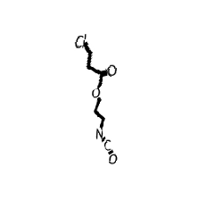 O=C=NCCCOC(=O)CCCl